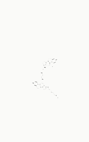 C[C@H]1C[C@@H]2[C@H]([C@@H](OC(=O)CCC(=O)OCC(=O)[C@@]3(O)CC[C@H]4[C@@H]5C[C@H](C)C6=CC(=O)C=C[C@]6(C)[C@H]5[C@@H](O)C[C@@]43C)C[C@@]3(C)[C@H]2CC[C@]3(O)C(=O)COC(=O)CCC(=O)O)[C@@]2(C)C=CC(=O)C=C12